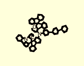 c1ccc(-c2ccc(-c3ccc(N(c4ccc5c(c4)C4(c6ccccc6-5)c5ccccc5-n5c6ccccc6c6cccc4c65)c4cccc5c4-c4ccccc4C54c5ccccc5-c5ccccc54)cc3)cc2)cc1